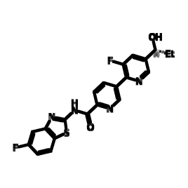 CC[C@@H](O)c1cnc(-c2ccc(C(=O)Nc3nc4cc(F)ccc4s3)nc2)c(F)c1